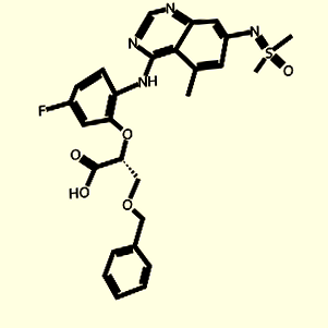 Cc1cc(N=S(C)(C)=O)cc2ncnc(Nc3ccc(F)cc3O[C@H](COCc3ccccc3)C(=O)O)c12